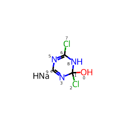 OC1(Cl)N=CN=C(Cl)N1.[NaH]